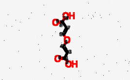 O=C(O)C=COC=CC(=O)O